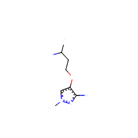 CC(N)CCOc1cn(C)nc1N